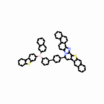 c1cc(B(c2ccc3ccccc3c2)c2ccc3c(c2)sc2ccccc23)cc(-c2ccc(-c3cc4c5cc6ccccc6cc5sc4c4nc5c6ccc7ccccc7c6ccc5n34)cc2)c1